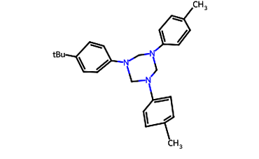 Cc1ccc(N2CN(c3ccc(C)cc3)CN(c3ccc(C(C)(C)C)cc3)C2)cc1